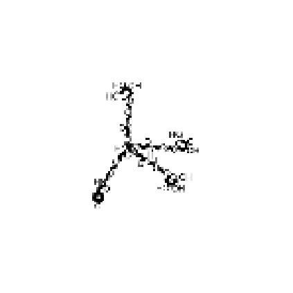 O=C(CCOCC(COCCC(=O)NCCOCCO[C@H]1C[C@@H](O)[C@@H](O)[C@@H](CO)O1)(COCCC(=O)NCCOCCO[C@H]1C[C@@H](O)[C@@H](O)[C@@H](CO)O1)NC(=O)CCOCCOCCNC(=O)Cc1ccc(OI)cc1)NCCOCCO[C@H]1C[C@@H](O)[C@@H](O)[C@@H](CO)O1